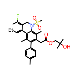 CC/C=C1\C(=C(/C)F)CN(S(C)(=O)=O)c2c(C)c(CC(=O)OCC(C)(C)O)c(-c3ccc(C)cc3)c(C)c21